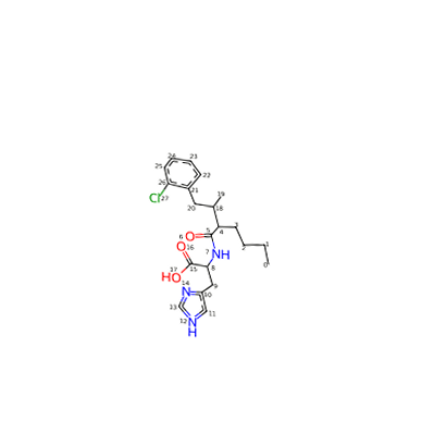 CCCCC(C(=O)NC(Cc1c[nH]cn1)C(=O)O)C(C)Cc1ccccc1Cl